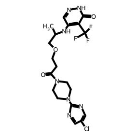 CC(COCCC(=O)N1CCN(c2ncc(Cl)cn2)CC1)Nc1cn[nH]c(=O)c1C(F)(F)F